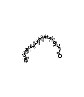 CN(CCCNC(=O)c1cc(NC(=O)c2cc(NC(=O)c3cc(NC(=O)c4nc(NC(=O)CCCNC(=O)c5cc(NC(=O)c6cc(NC(=O)c7cc(NC(=O)c8nccn8C)cn7C)cn6C)cn5C)cn4C)cn3C)cn2C)cn1C)CCCNC1CCCCCCC1